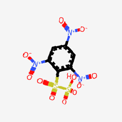 O=[N+]([O-])c1cc([N+](=O)[O-])c(S(=O)(=O)S(=O)(=O)O)c([N+](=O)[O-])c1